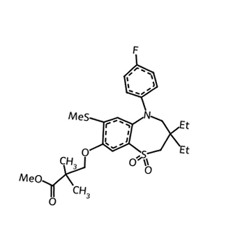 CCC1(CC)CN(c2ccc(F)cc2)c2cc(SC)c(OCC(C)(C)C(=O)OC)cc2S(=O)(=O)C1